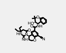 CCC1(CC)CC(=O)N([C@@H]2CCOc3c(C#N)cc(C(=O)N[C@@H]4c5ccccc5OC(C)(C)[C@H]4O)cc32)C(=N)N1